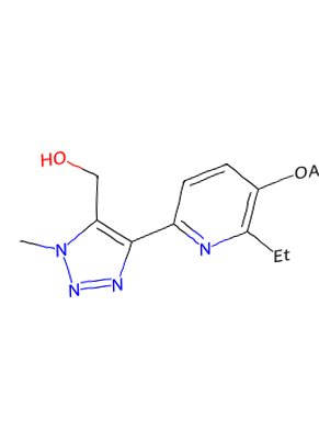 CCc1nc(-c2nnn(C)c2CO)ccc1OC(C)=O